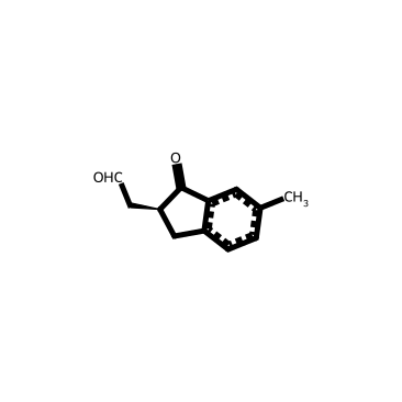 Cc1ccc2c(c1)C(=O)[C@H](CC=O)C2